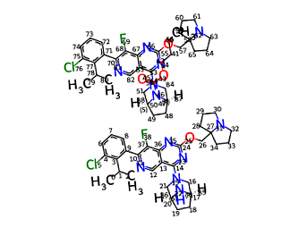 CC(C)c1c(Cl)cccc1-c1ncc2c(N3C[C@H]4CC[C@@H](C3)N4)nc(OCC34CCCN3CCC4)nc2c1F.CCCCOC(=O)N1[C@@H]2CC[C@H]1CN(c1nc(OCC34CCCN3CCC4)nc3c(F)c(-c4cccc(Cl)c4C(C)C)ncc13)C2